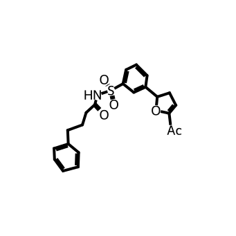 CC(=O)C1=CCC(c2cccc(S(=O)(=O)NC(=O)CCCc3ccccc3)c2)O1